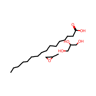 CC1CO1.CCCCCCCCCCCCCCCC(=O)O.OCC(O)CO